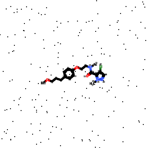 CCOCCCc1ccc(OCCN(C(C)=O)C(=O)c2c(Cl)cnn2C)cc1